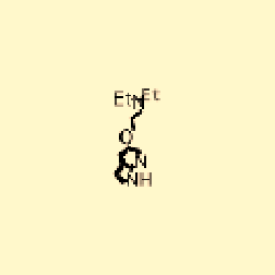 CCN(CC)CCCOc1cnc2[nH]ccc2c1